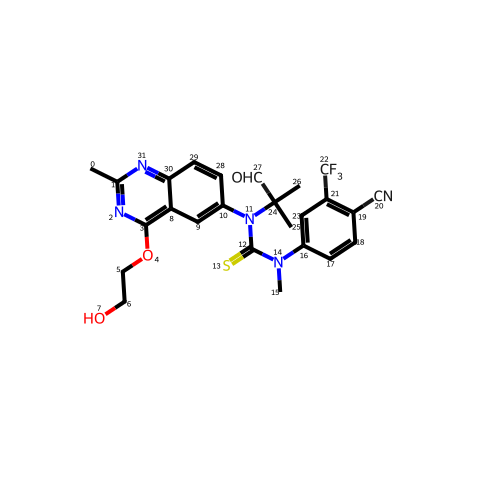 Cc1nc(OCCO)c2cc(N(C(=S)N(C)c3ccc(C#N)c(C(F)(F)F)c3)C(C)(C)C=O)ccc2n1